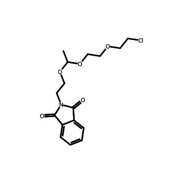 CC(OCCOCCCl)OCCN1C(=O)c2ccccc2C1=O